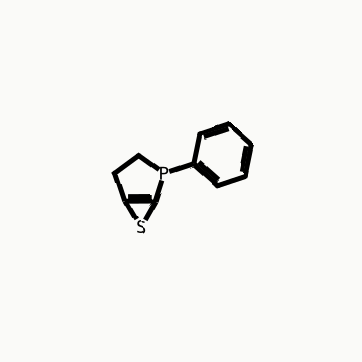 c1ccc(P2CCC3=C2S3)cc1